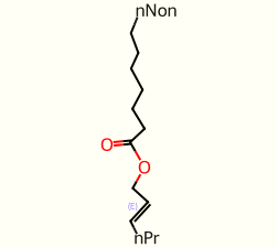 CCC/C=C/COC(=O)CCCCCCCCCCCCCCC